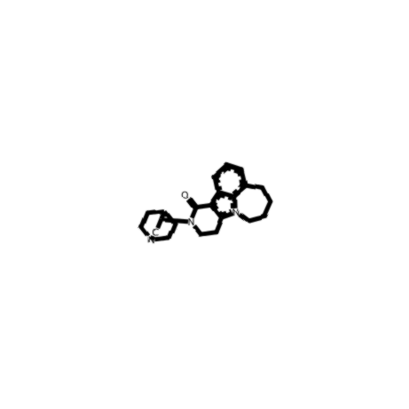 O=C1c2c(n3c4c(cccc24)CCCC3)CCN1C1CN2CCC1CC2